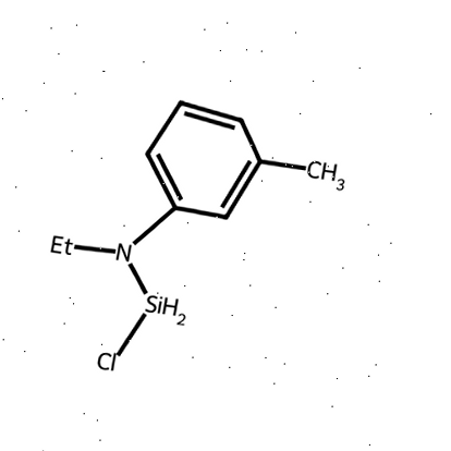 CCN([SiH2]Cl)c1cccc(C)c1